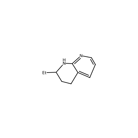 CCC1CCc2cccnc2N1